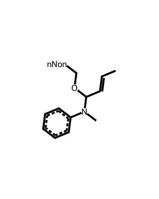 C/C=C/C(OCCCCCCCCCC)N(C)c1ccccc1